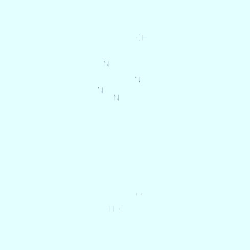 COc1ccc(-n2nnc(C)n2)cc1